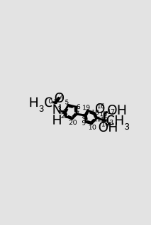 CC(=O)Nc1ccc(-c2ccc(C(C)(O)C(=O)O)cc2)cc1